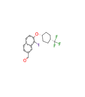 O=Cc1ccc2ccc(O[C@H]3CC[C@@H](C(F)(F)F)CC3)c(I)c2c1